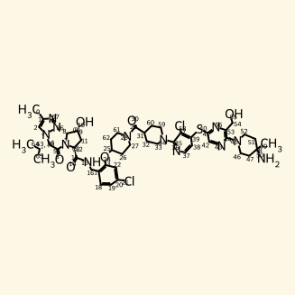 Cc1cn([C@H](C(=O)N2C[C@H](O)C[C@H]2C(=O)NCc2ccc(Cl)cc2OC2CCN(C(=O)C3CCN(c4nccc(Sc5cnc(N6CCC(C)(N)CC6)c(CO)n5)c4Cl)CC3)CC2)C(C)C)nn1